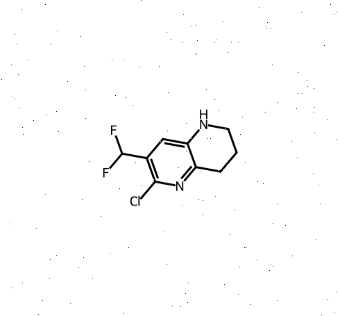 FC(F)c1cc2c(nc1Cl)CCCN2